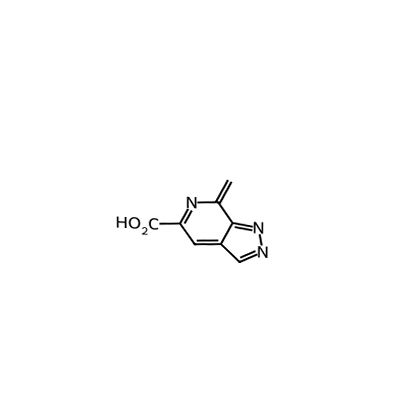 C=c1nc(C(=O)O)cc2c1=NN=C2